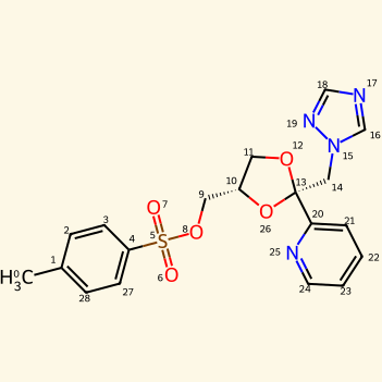 Cc1ccc(S(=O)(=O)OC[C@@H]2CO[C@@](Cn3cncn3)(c3ccccn3)O2)cc1